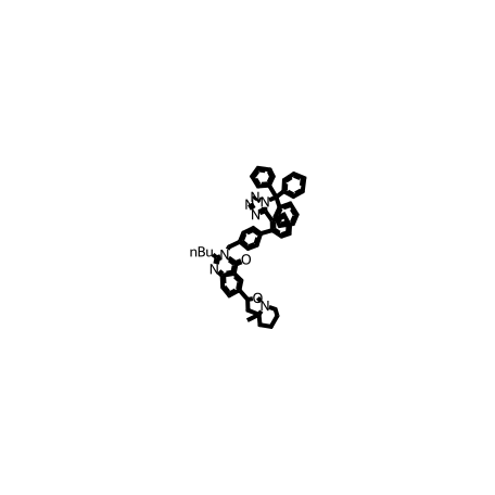 CCCCc1nc2ccc(C3CC4(C)CCCCN4O3)cc2c(=O)n1Cc1ccc(-c2ccccc2-c2nnnn2C(c2ccccc2)(c2ccccc2)c2ccccc2)cc1